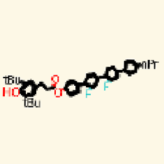 CCCc1ccc(-c2ccc(-c3ccc(-c4ccc(OC(=O)CCc5cc(C(C)(C)C)c(O)c(C(C)(C)C)c5)cc4)c(F)c3)c(F)c2)cc1